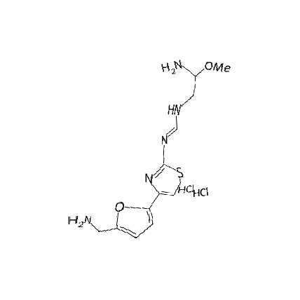 COC(N)CNC=Nc1nc(-c2ccc(CN)o2)cs1.Cl.Cl